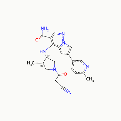 Cc1ccc(-c2cc3c(N[C@@H]4CN(C(=O)CC#N)C[C@@H]4C)c(C(N)=O)cnn3c2)cn1